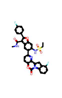 CCS(=O)(=O)Nc1cc2oc(-c3ccc(F)cc3)c(C(=O)NC)c2cc1-c1ccc2oc(=O)n3c4cccc(F)c4cc3c2n1